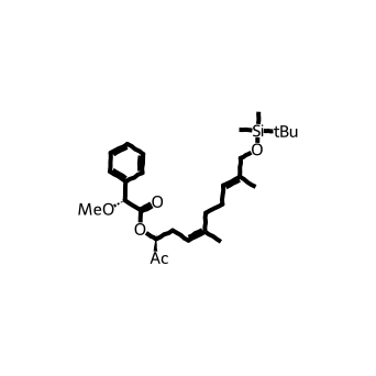 CO[C@@H](C(=O)O[C@@H](C/C=C(/C)CC/C=C(\C)CO[Si](C)(C)C(C)(C)C)C(C)=O)c1ccccc1